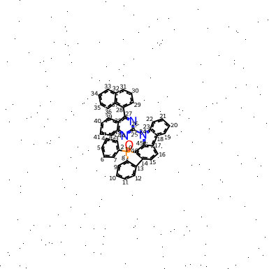 O=P1(c2ccccc2)c2ccccc2-c2ccc3c4ccccc4n(-c4nc(-c5cccc6ccccc56)c5ccccc5n4)c3c21